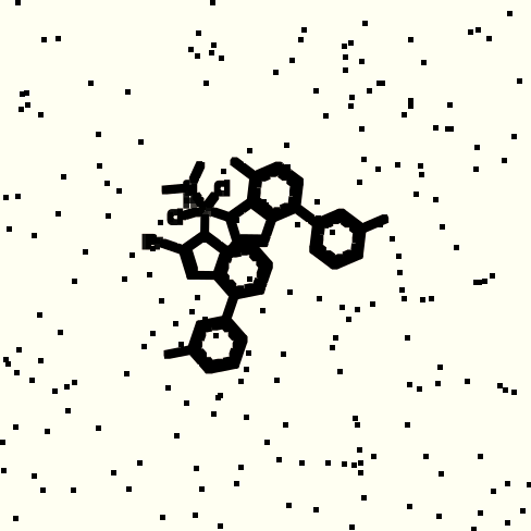 CC1=Cc2c(-c3cccc(C)c3)ccc(C)c2[CH]1[Zr]([Cl])([Cl])([CH]1C(C(C)C)=Cc2c(-c3cccc(C)c3)cccc21)[SiH](C)C